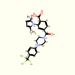 Cc1ccc(C)n1-c1cc(C(=O)N2CCN(c3ccc(C(F)(F)F)cc3)CC2)ccc1C(=O)O